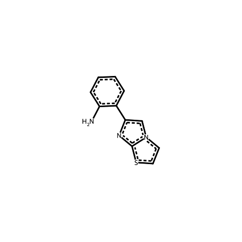 Nc1ccccc1-c1cn2ccsc2n1